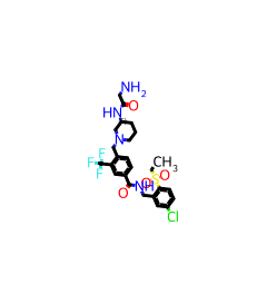 CCS(=O)(=O)c1ccc(Cl)cc1CNC(=O)c1ccc(CN2CCC[C@H](NC(=O)CN)C2)c(C(F)(F)F)c1